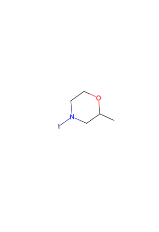 CC1CN(I)CCO1